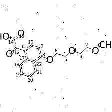 COCCOCCOc1ccc(C(=O)C(=O)O)c2ccccc12